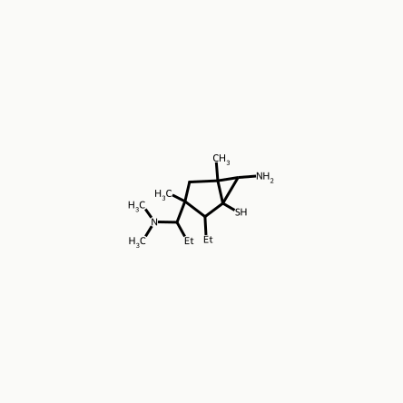 CCC(N(C)C)C1(C)CC2(C)C(N)C2(S)C1CC